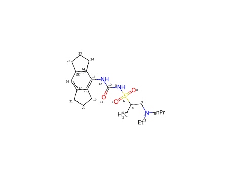 CCCN(CC)CC(C)S(=O)(=O)NC(=O)Nc1c2c(cc3c1CCC3)CCC2